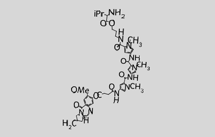 C=C1C[C@H]2C=Nc3cc(OCCCC(=O)Nc4cc(C(=O)Nc5cc(C(=O)Nc6cc(C(=O)NCCCOC(=O)C(N)C(C)C)n(C)c6)n(C)c5)n(C)c4)c(OC)cc3C(=O)N2C1